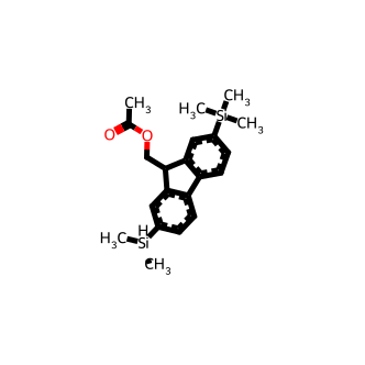 CC(=O)OCC1c2cc([SiH](C)C)ccc2-c2ccc([Si](C)(C)C)cc21